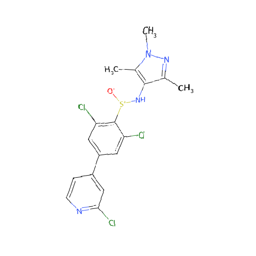 Cc1nn(C)c(C)c1N[S+]([O-])c1c(Cl)cc(-c2ccnc(Cl)c2)cc1Cl